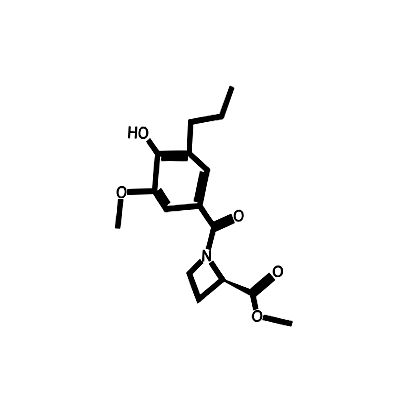 CCCc1cc(C(=O)N2CC[C@@H]2C(=O)OC)cc(OC)c1O